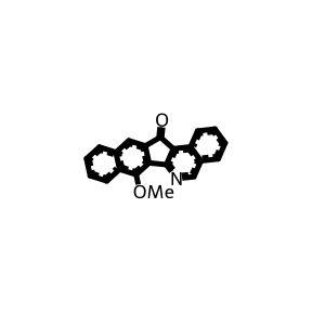 COc1c2c(cc3ccccc13)C(=O)c1c-2ncc2ccccc12